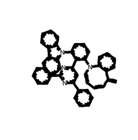 C=C1/C=C\C=C/N(c2cccc(-n3c4ccccc4c4ccccc43)c2-c2cc(-c3ccccc3)nc(-c3ccccc3)n2)c2ccccc21